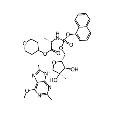 COc1nc(C)nc2c1nc(I)n2[C@@H]1O[C@H](COP(=O)(N[C@@H](C)C(=O)OC2CCOCC2)Oc2cccc3ccccc23)[C@@H](O)[C@@]1(C)O